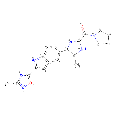 Cc1noc(-c2cc3cc(C4N=C(C(=O)N5CCCC5)NC4C)ccc3[nH]2)n1